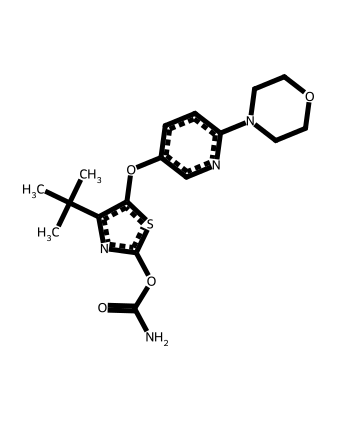 CC(C)(C)c1nc(OC(N)=O)sc1Oc1ccc(N2CCOCC2)nc1